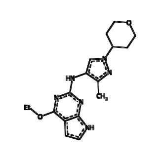 CCOc1nc(Nc2cn(C3CCOCC3)nc2C)nc2[nH]ccc12